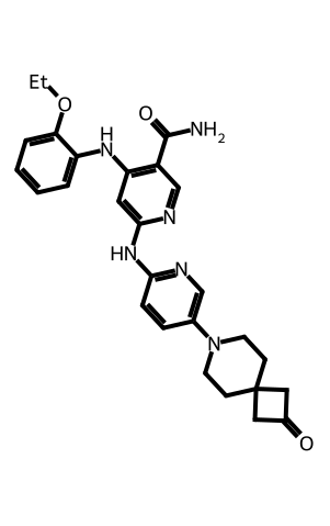 CCOc1ccccc1Nc1cc(Nc2ccc(N3CCC4(CC3)CC(=O)C4)cn2)ncc1C(N)=O